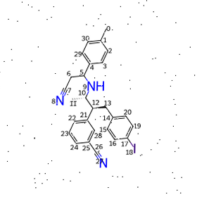 Cc1ccc(C(CC#N)N[C@@H](C)[C@@H](Cc2ccc(I)cc2)c2cccc(C#N)c2)cc1